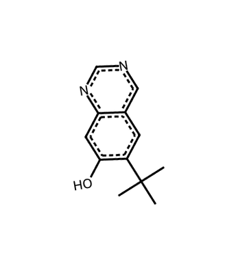 CC(C)(C)c1cc2cncnc2cc1O